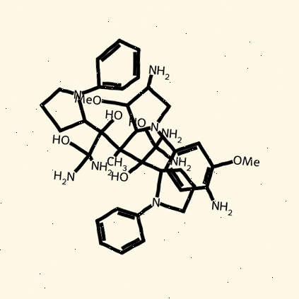 COc1cc(N2CC(N)C(OC)C2C(C)(C(O)(C2CCCN2c2ccccc2)C(N)(N)O)C(O)(C2CCCN2c2ccccc2)C(N)(N)O)ccc1N